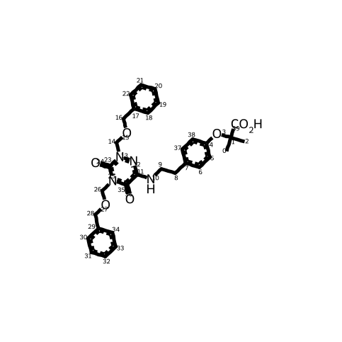 CC(C)(Oc1ccc(CCNc2nn(COCc3ccccc3)c(=O)n(COCc3ccccc3)c2=O)cc1)C(=O)O